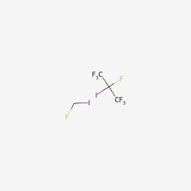 FC(F)(F)C(F)(I)C(F)(F)F.FCI